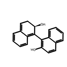 Oc1ccc2ccccc2c1C1=c2ccccc2=CC[C@H]1O